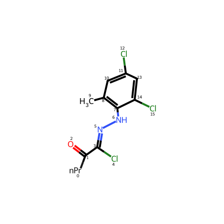 CCCC(=O)C(Cl)=NNc1c(C)cc(Cl)cc1Cl